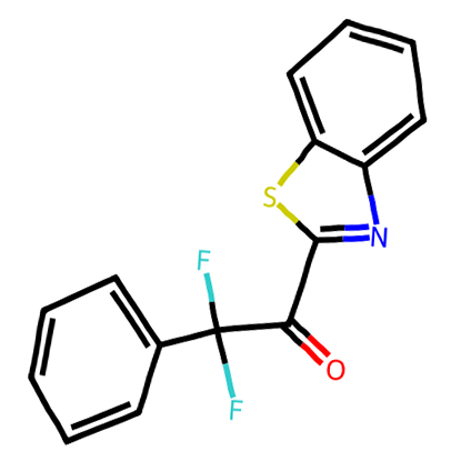 O=C(c1nc2ccccc2s1)C(F)(F)c1ccccc1